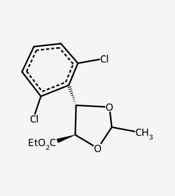 CCOC(=O)[C@@H]1OC(C)O[C@H]1c1c(Cl)cccc1Cl